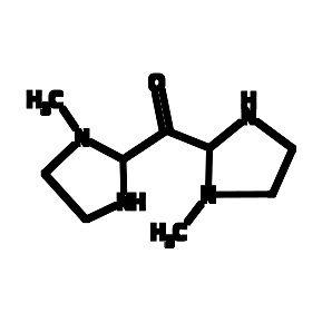 CN1CCNC1C(=O)C1NCCN1C